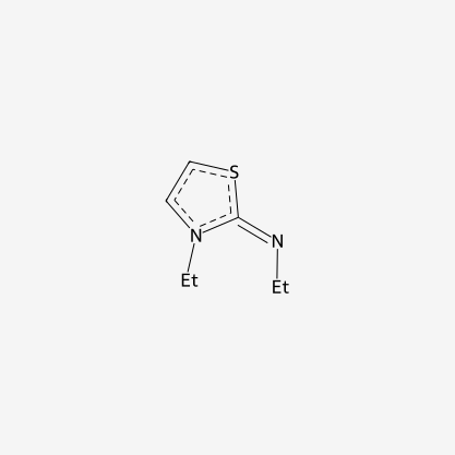 CCN=c1sccn1CC